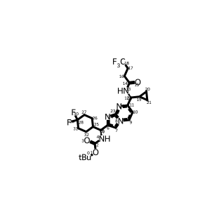 CC(C)(C)OC(=O)N[C@H](c1cn2ccc([C@@H](NC(=O)CCC(F)(F)F)C3CC3)nc2n1)C1CCC(F)(F)CC1